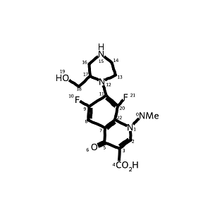 CNn1cc(C(=O)O)c(=O)c2cc(F)c(N3CCNCC3CO)c(F)c21